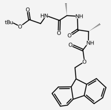 C[C@H](NC(=O)OCC1c2ccccc2-c2ccccc21)C(=O)N[C@@H](C)C(=O)NCC(=O)OC(C)(C)C